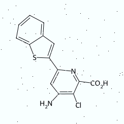 Nc1cc(-c2cc3ccccc3s2)nc(C(=O)O)c1Cl